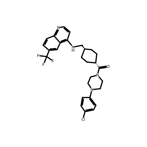 O=C([C@H]1CC[C@H](CNc2ccnc3ccc(C(F)(F)F)cc23)CC1)N1CCN(c2ccc(Cl)cc2)CC1